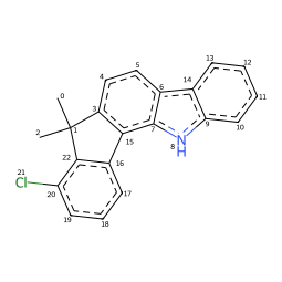 CC1(C)c2ccc3c([nH]c4ccccc43)c2-c2cccc(Cl)c21